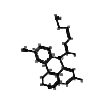 CC1=CC(Cl)CC(N(/C(C)=C/C=C\CC(C)(C)C)c2ccc(C(C)(C)C)cc2C2=CC=CCC2)=C1